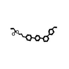 C=CC(=O)OCCCc1ccc(-c2ccc(-c3cccc(-c4ccc(C=C)cc4)c3)cc2)cc1